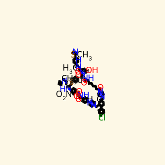 Cc1ncsc1-c1ccc([C@H](C)NC(=O)[C@@H]2C[C@@H](O)CN2C(=O)[C@@H](NC(=O)CCCCCCC(=O)N2CCN(CC3(C)CCC(c4ccc(Cl)cc4)=C(CN4CCN(c5ccc(C(=O)NS(=O)(=O)c6ccc(N[C@H](CCN(C)C7CCC7)CSc7ccccc7)c([N+](=O)[O-])c6)cc5)CC4)C3)CC2)C(C)(C)C)cc1